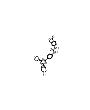 O=C(Nc1ccc(-c2nc(N3CCOCC3)nc(N3C4CCC3CNC4)n2)cc1)Nc1ccc2c(c1)COC2=O